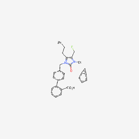 CCn1c(CF)c(CCC(C)C)n(Cc2ccc(-c3ccccc3C(=O)O)cc2)c1=O.c1cc2cc-2c1